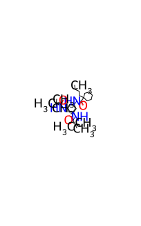 CCCCC1(C(=O)Nc2cc(NC(=O)C(C)(C)C)cc(NC(=O)C(C)(C)C)c2)CCCCC1